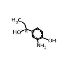 CC[C@H](O)c1ccc(O)c(N)c1